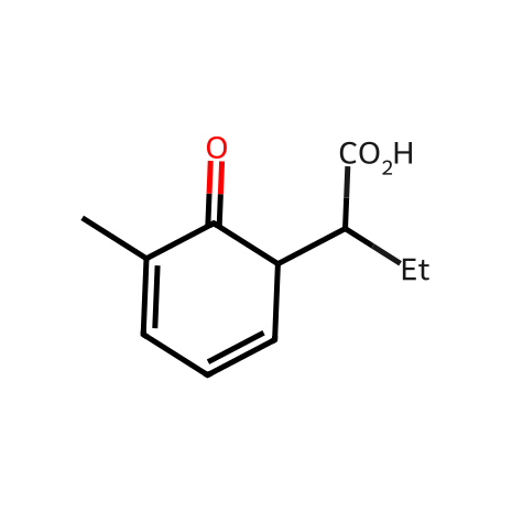 CCC(C(=O)O)C1C=CC=C(C)C1=O